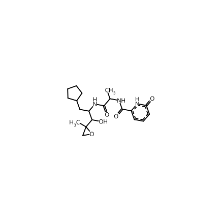 CC(NC(=O)c1cccc(=O)[nH]1)C(=O)NC(CC1CCCC1)C(O)C1(C)CO1